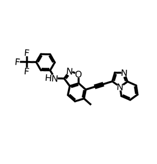 Cc1ccc2c(Nc3cccc(C(F)(F)F)c3)noc2c1C#Cc1cnc2ccccn12